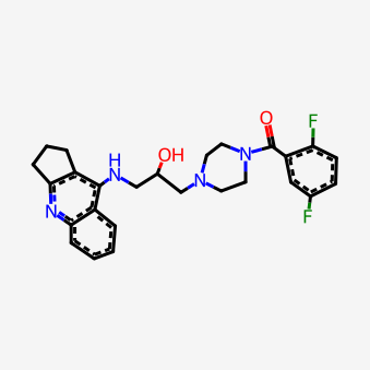 O=C(c1cc(F)ccc1F)N1CCN(CC(O)CNc2c3c(nc4ccccc24)CCC3)CC1